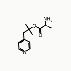 C[C@H](N)C(=O)OC(C)(C)Cc1ccncc1